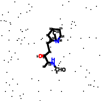 CC(NC=O)C(=O)CCC1CC2CCN1CC2